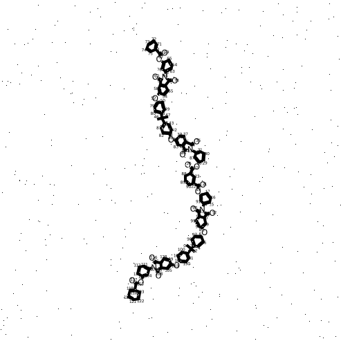 CC(C)(c1ccc(OC2=CC3C(=O)N(c4cccc(OC(=O)C5=CC(C(=O)Oc6cccc(N7C(=O)c8ccc(Oc9ccc(C(C)(C)c%10ccc(Oc%11ccc%12c(c%11)C(=O)N(c%11cccc(OC(=O)c%13ccccc%13)c%11)C%12=O)cc%10)cc9)cc8C7=O)c6)CC=C5)c4)C(=O)C3C=C2)cc1)c1ccc(OC2=CC3C(=O)N(c4cccc(OC(=O)c5ccccc5)c4)C(=O)C3C=C2)cc1